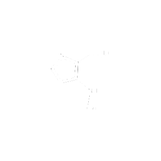 CCOC(=O)c1ncsc1NC(C)(C)C